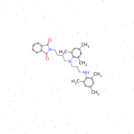 Cc1cc(C)c(NCCCN(CCCCN2C(=O)c3ccccc3C2=O)c2c(C)cc(C)cc2C)c(C)c1